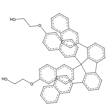 OCCOc1ccc2cc(C3(c4ccc5cc(OCCO)ccc5c4)c4c(-c5ccc6ccccc6c5)cccc4-c4cccc(-c5ccc6ccccc6c5)c43)ccc2c1